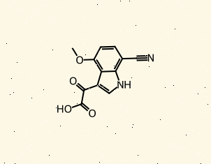 COc1ccc(C#N)c2[nH]cc(C(=O)C(=O)O)c12